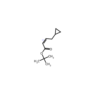 CC(C)(C)OC(=O)/C=C\CC1CC1